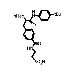 CCCCCCC(Cc1ccc(C(=O)NCCS(=O)(=O)O)cc1)C(=O)Nc1ccc(C(C)(C)C)cc1